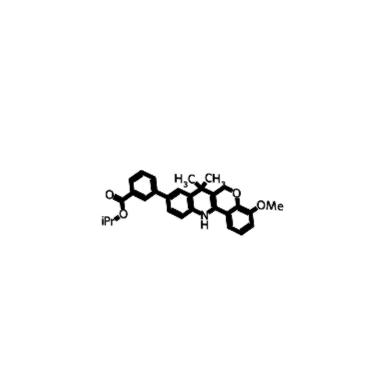 COc1cccc2c1OCC1=C2Nc2ccc(-c3cccc(C(=O)OC(C)C)c3)cc2C1(C)C